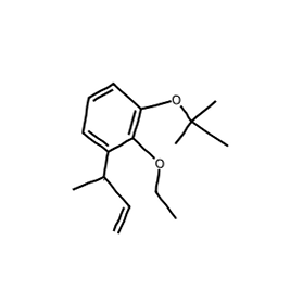 C=C[C](C)c1cccc(OC(C)(C)C)c1OCC